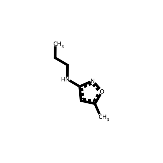 CCCNc1cc(C)on1